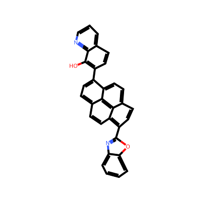 Oc1c(-c2ccc3ccc4c(-c5nc6ccccc6o5)ccc5ccc2c3c54)ccc2cccnc12